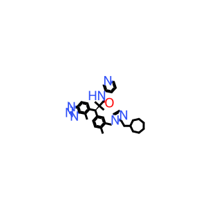 Cc1ccc([C@@H](c2ccc3c(nnn3C)c2C)C(C)(C)C(=O)Nc2cccnc2)cc1Cn1ccnc1CC1CCCCCC1